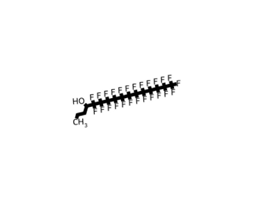 CCCC(O)C(F)(F)C(F)(F)C(F)(F)C(F)(F)C(F)(F)C(F)(F)C(F)(F)C(F)(F)C(F)(F)C(F)(F)C(F)(F)C(F)(F)F